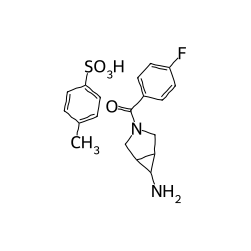 Cc1ccc(S(=O)(=O)O)cc1.NC1C2CN(C(=O)c3ccc(F)cc3)CC12